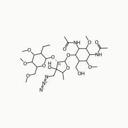 CCC1C(O[C@@H]2C(OC3C(CO)C(OC)C(NC(C)=O)C(OC)C3NC(C)=O)OC(C)C2(O)CN=[N+]=[N-])OC(COC)C(OC)C1OC